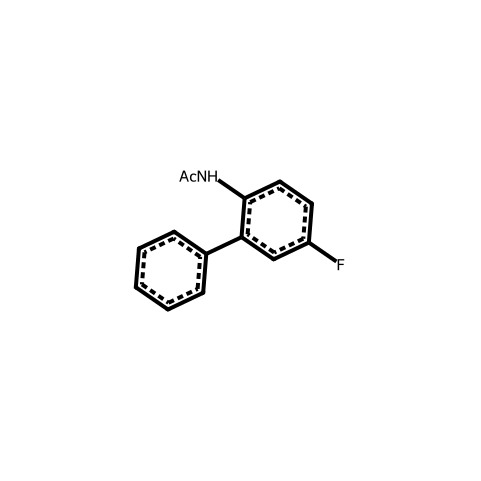 CC(=O)Nc1ccc(F)cc1-c1ccccc1